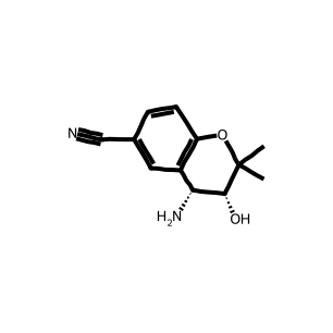 CC1(C)Oc2ccc(C#N)cc2[C@@H](N)[C@H]1O